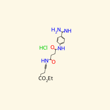 CCOC(=O)CCC#CNC(=O)CCC(=O)Nc1ccc(C(=N)N)cc1.Cl